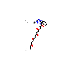 COC(OC)c1ccnc(C2(CC(=O)CCC(=O)CCC(=O)CCC(=O)CCC(=O)CCC(C)=O)CCCCC2)n1